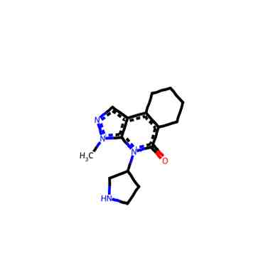 Cn1ncc2c3c(c(=O)n(C4CCNC4)c21)CCCC3